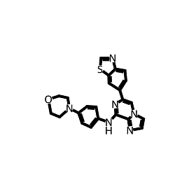 c1cn2cc(-c3ccc4ncsc4c3)nc(Nc3ccc(N4CCOCC4)cc3)c2n1